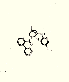 O=C(c1ccccc1-c1ccnnc1)N1C[C@@H]2C[C@@H](Nc3ccc(C(F)(F)F)cn3)[C@@H]1C2